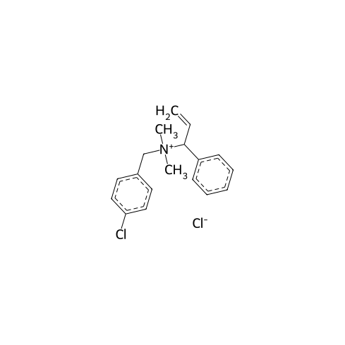 C=CC(c1ccccc1)[N+](C)(C)Cc1ccc(Cl)cc1.[Cl-]